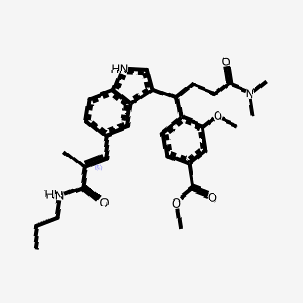 CCCNC(=O)/C(C)=C/c1ccc2[nH]cc(C(CCC(=O)N(C)C)c3ccc(C(=O)OC)cc3OC)c2c1